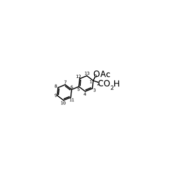 CC(=O)OC1(C(=O)O)C=CC(c2ccccc2)=CC1